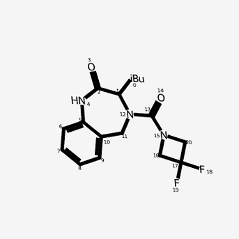 CCC(C)C1C(=O)Nc2ccccc2CN1C(=O)N1CC(F)(F)C1